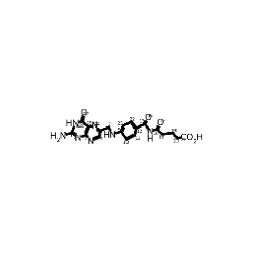 Nc1nc2ncc(CNc3ccc(C(=O)NC(=O)CCCC(=O)O)cc3)nc2c(=O)[nH]1